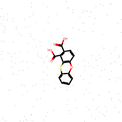 O=C(O)c1ccc2c(c1C(=O)O)Sc1ccccc1O2